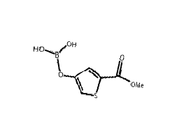 COC(=O)c1cc(OB(O)O)cs1